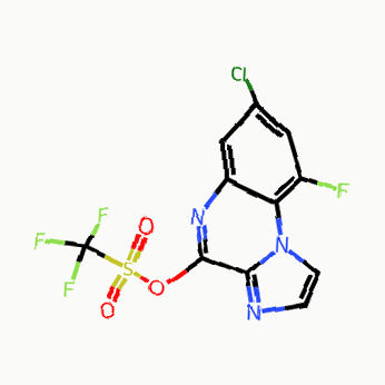 O=S(=O)(Oc1nc2cc(Cl)cc(F)c2n2ccnc12)C(F)(F)F